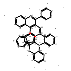 c1ccc(-c2nc3ccccc3c3c2cc(-c2ccccc2N2c4ccccc4Sc4ccccc42)c2oc4ccccc4c23)cc1